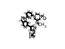 CO[C@H]1CN(C=O)CCN(c2cccc(-n3ncc4cnc(-c5cnn(CC(F)(F)F)c5)cc43)n2)C1